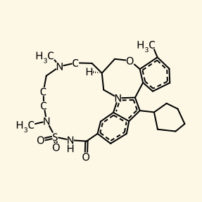 Cc1cccc2c1OC[C@@H]1CCN(C)CCCN(C)S(=O)(=O)NC(=O)c3ccc4c(C5CCCCC5)c-2n(c4c3)C1